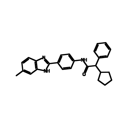 Cc1ccc2nc(-c3ccc(NC(=O)C(c4ccccc4)C4CCCC4)cc3)[nH]c2c1